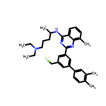 CCN(CC)CCCC(C)Nc1nc(-c2cc(CF)cc(-c3ccc(C)c(C)c3)c2)nc2c(C)cccc12